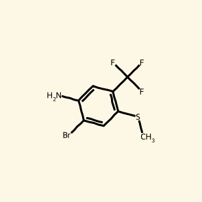 CSc1cc(Br)c(N)cc1C(F)(F)F